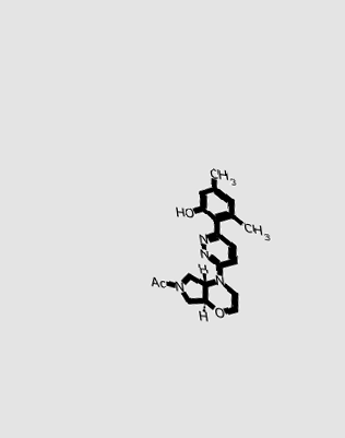 CC(=O)N1C[C@@H]2OCCN(c3ccc(-c4c(C)cc(C)cc4O)nn3)[C@H]2C1